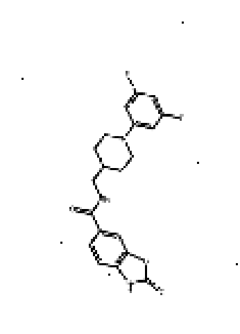 O=C(NCC1CCN(c2cc(F)cc(F)c2)CC1)c1ccc2[nH]c(=O)oc2c1